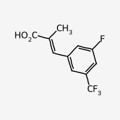 C/C(=C\c1cc(F)cc(C(F)(F)F)c1)C(=O)O